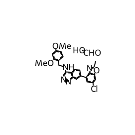 COc1ccc(CNc2cnnc3cc(-c4cc(Cl)cc5oc(C)nc45)ccc23)c(OC)c1.O=CO